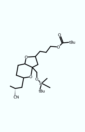 C[C@@H](C#N)CC1CCC2OC(CCCOC(=O)C(C)(C)C)CC2(CO[Si](C)(C)C(C)(C)C)O1